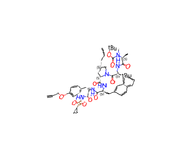 C#CCOc1ccc(C[C@H](NC(=O)[C@H](Cc2ccc3ccccc3c2)NC(=O)[C@@H]2C[C@H](CC=C)CN2C(=O)[C@@H](NC(=O)[C@H](C)N(C)C(=O)OC(C)(C)C)C(C)(C)C)C(=O)NS(=O)(=O)C2CC2)cc1